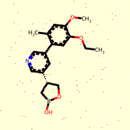 CCOc1cc(-c2cncc([C@@H]3COB(O)C3)c2)c(C)cc1OC